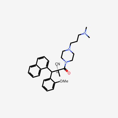 COc1ccccc1C(c1cccc2ccccc12)[C@@](C)(C#N)C(=O)N1CCN(CCCN(C)C)CC1